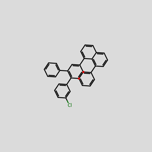 Clc1cccc(-c2ccc(-c3cccc4cccc(-c5ccccc5)c34)cc2-c2ccccc2)c1